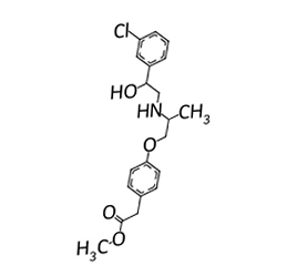 COC(=O)Cc1ccc(OCC(C)NCC(O)c2cccc(Cl)c2)cc1